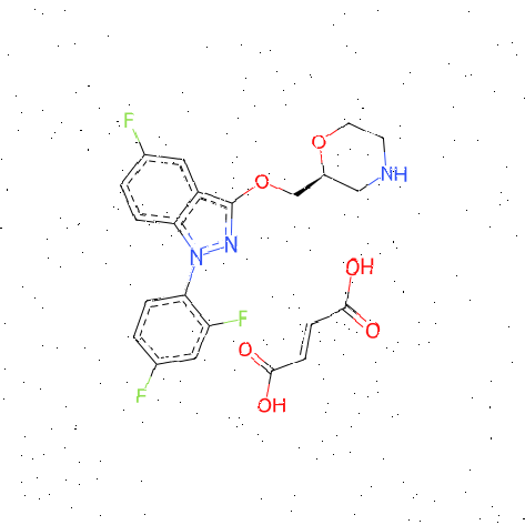 Fc1ccc(-n2nc(OC[C@@H]3CNCCO3)c3cc(F)ccc32)c(F)c1.O=C(O)C=CC(=O)O